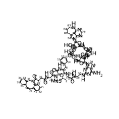 CSCC[C@H](NC(=O)[C@H](Cc1ccccc1)NC(=O)CNC(=O)CNC(=O)CCC(=O)N1Cc2ccccc2C#Cc2ccccc21)C(=O)NCCNc1nc(N)c2ncn([C@@H]3O[C@@H]4COP(=O)(S)O[C@H]5[C@@H](O)[C@H](n6cc7c8c(ncnc86)NCCC7)O[C@@H]5COP(=O)(S)O[C@@H]3[C@@H]4O)c2n1